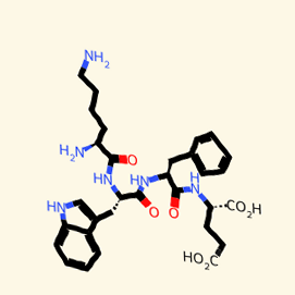 NCCCC[C@H](N)C(=O)N[C@@H](Cc1c[nH]c2ccccc12)C(=O)N[C@@H](Cc1ccccc1)C(=O)N[C@@H](CCC(=O)O)C(=O)O